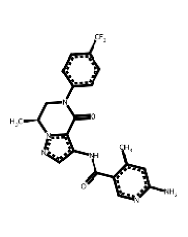 Cc1cc(N)ncc1C(=O)Nc1cnn2c1C(=O)N(c1ccc(C(F)(F)F)cc1)C[C@@H]2C